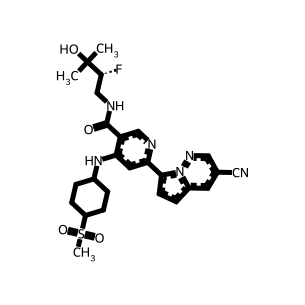 CC(C)(O)[C@H](F)CNC(=O)c1cnc(-c2ccc3cc(C#N)cnn23)cc1NC1CCC(S(C)(=O)=O)CC1